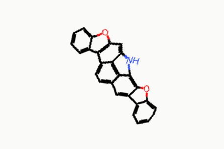 c1ccc2c(c1)oc1c2cc2ccc3c4c(cc5[nH]c1c2c53)oc1ccccc14